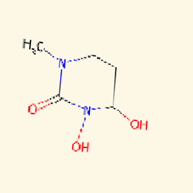 CN1CCC(O)N(O)C1=O